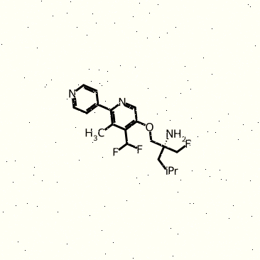 Cc1c(-c2ccncc2)ncc(OC[C@@](N)(CF)CC(C)C)c1C(F)F